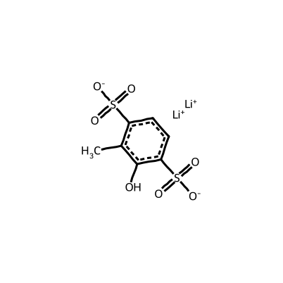 Cc1c(S(=O)(=O)[O-])ccc(S(=O)(=O)[O-])c1O.[Li+].[Li+]